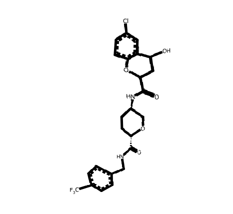 O=C(N[C@@H]1CC[C@@H](C(=O)NCc2ccc(C(F)(F)F)cc2)OC1)C1CC(O)c2cc(Cl)ccc2O1